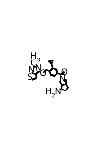 Cc1nc(OCc2ccc(C(=O)N3CC4CCC(N)C4C3)cc2C2CC2)c2ccsc2n1